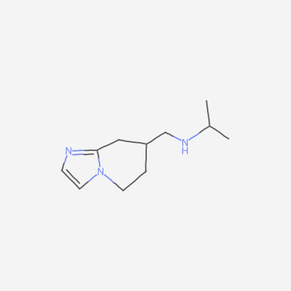 CC(C)NCC1CCn2ccnc2C1